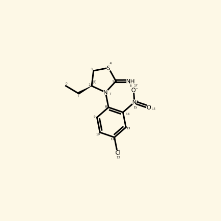 CC[C@H]1CSC(=N)N1c1ccc(Cl)cc1[N+](=O)[O-]